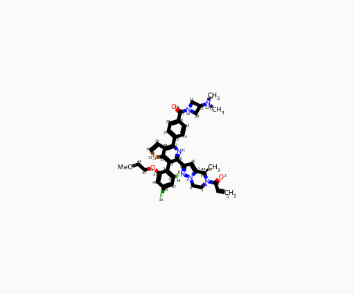 C=CC(=O)N1CCn2nc(-c3nc(-c4ccc(C(=O)N5CC(N(C)C)C5)cc4)c4ccsc4c3-c3c(F)cc(F)cc3OCCOC)cc2[C@H]1C